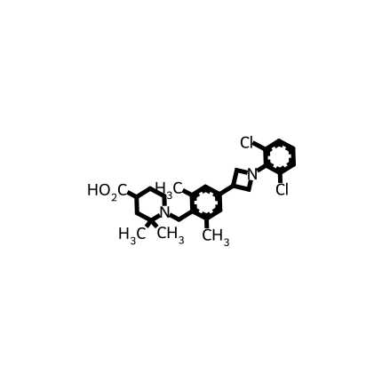 Cc1cc(C2CN(c3c(Cl)cccc3Cl)C2)cc(C)c1CN1CCC(C(=O)O)CC1(C)C